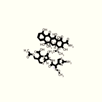 CN(C)[C@@H]1C(O)=C(C(N)=O)C(=O)[C@@]2(O)C(O)=C3C(=O)c4c(O)cccc4[C@@](C)(O)[C@H]3C[C@@H]12.CO/N=C(/C(=O)N[C@@H]1C(=O)N2C(C(=O)O)=C(COC(C)=O)CS[C@H]12)c1csc(N)n1